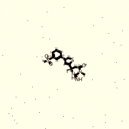 CN1C(=N)N[C@](C)(C2=CC(c3cccc(S(C)(=O)=O)c3)CS2)CC1=O